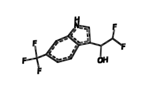 OC(c1c[nH]c2cc(C(F)(F)F)ccc12)C(F)F